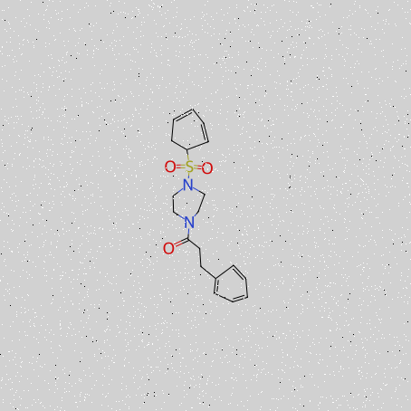 O=C(CCc1ccccc1)N1CCN(S(=O)(=O)C2C=CC=CC2)CC1